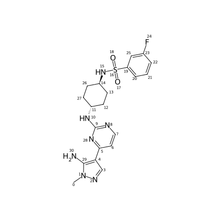 Cn1ncc(-c2ccnc(N[C@H]3CC[C@H](NS(=O)(=O)c4cccc(F)c4)CC3)n2)c1N